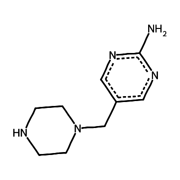 Nc1ncc(CN2CCNCC2)cn1